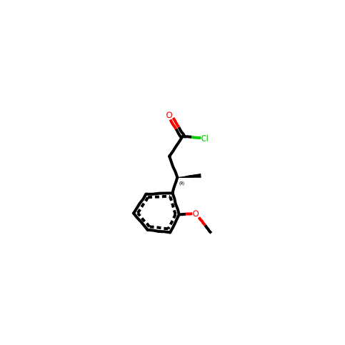 COc1ccccc1[C@H](C)CC(=O)Cl